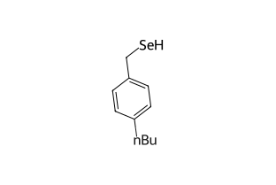 CCCCc1ccc(C[SeH])cc1